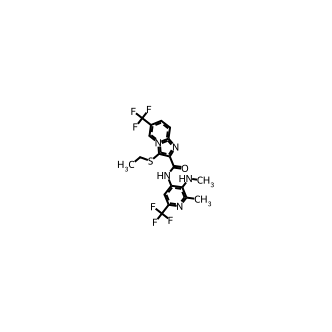 CCSc1c(C(=O)Nc2cc(C(F)(F)F)nc(C)c2NC)nc2ccc(C(F)(F)F)cn12